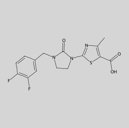 Cc1nc(N2CCN(Cc3ccc(F)c(F)c3)C2=O)sc1C(=O)O